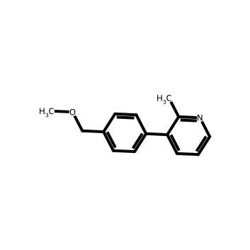 COCc1ccc(-c2cccnc2C)cc1